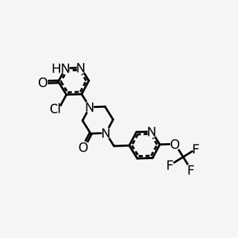 O=C1CN(c2cn[nH]c(=O)c2Cl)CCN1Cc1ccc(OC(F)(F)F)nc1